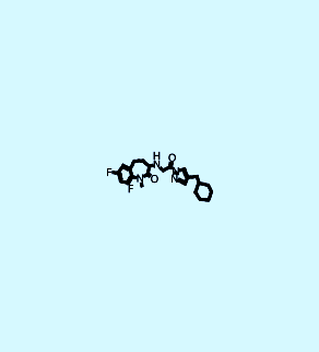 CN1C(=O)C(NCC(=O)n2cc(CC3CCCCC3)cn2)CCc2cc(F)cc(F)c21